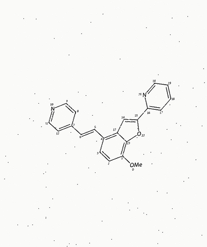 COc1ccc(C=Cc2ccncc2)c2cc(-c3ccccn3)oc12